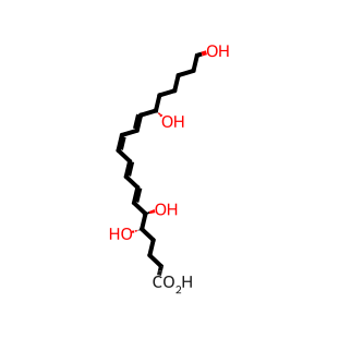 O=C(O)CCC[C@H](O)[C@H](O)/C=C/C=C/C=C\C=C\[C@@H](O)CCCCCO